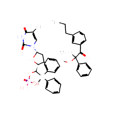 COOC(OC)(C(=O)c1cccc(CCC#N)c1)c1ccccc1.Cc1cn([C@H]2CC[C@@H](C(OP(=O)(O)O)[Si](c3ccccc3)(c3ccccc3)C(C)(C)C)O2)c(=O)[nH]c1=O